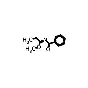 CC/C(=N/C(=O)c1ccccc1)OC